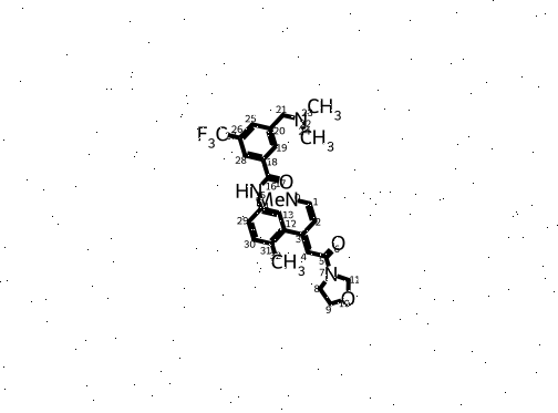 CN/C=C\C(=C/C(=O)N1CCOC1)c1cc(NC(=O)c2cc(CN(C)C)cc(C(F)(F)F)c2)ccc1C